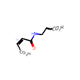 O=C(O)/C=C\C(=O)NCCC(=O)O